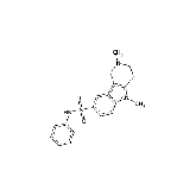 CN1CCc2c(c3cc(S(=O)(=O)Nc4ccccc4)ccc3n2C)C1